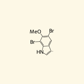 COc1c(Br)cc2[c]c[nH]c2c1Br